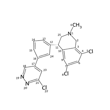 CN1Cc2c(Cl)cc(Cl)cc2[C@H](c2cccc(-c3cnnc(Cl)c3)c2)C1